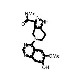 CNC(=O)c1n[nH]c2c1CN(c1ncnc3cc(O)c(OC)cc13)CC2